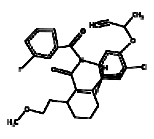 C#CC(C)Oc1cc(N(C(=O)C2=C(C(=O)O)CCCC2CCOC)C(=O)c2cccc(F)c2)c(F)cc1Cl